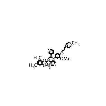 COc1cc(NC(CN(C(=O)Oc2c(C)cc(C)cc2C)c2ccncn2)c2cccnc2)ccc1OCCCN1CCN(C)CC1